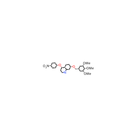 COc1cc(COc2ccc3c(Oc4ccc([N+](=O)[O-])cc4)ccnc3c2)cc(OC)c1OC